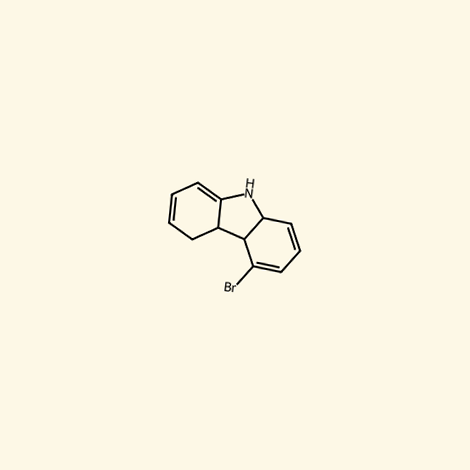 BrC1=CC=CC2NC3=CC=CCC3C12